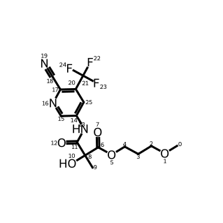 COCCCOC(=O)C(C)(O)C(=O)Nc1cnc(C#N)c(C(F)(F)F)c1